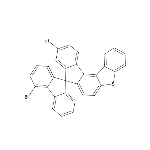 Clc1ccc2c(c1)C1(c3ccccc3-c3c(Br)cccc31)c1ccc3sc4ccccc4c3c1-2